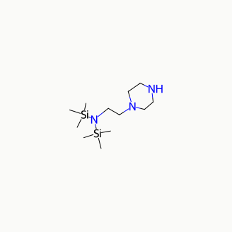 C[Si](C)(C)N(CCN1CCNCC1)[Si](C)(C)C